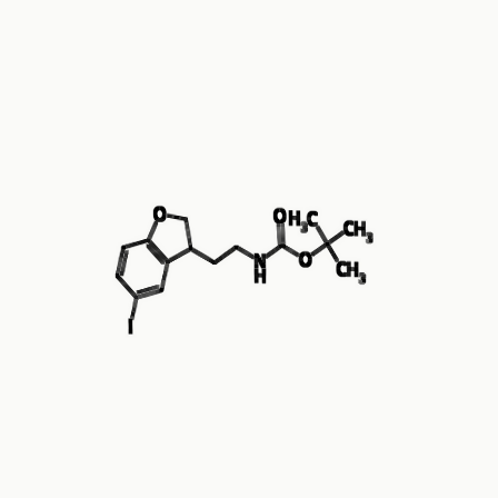 CC(C)(C)OC(=O)NCCC1COc2ccc(I)cc21